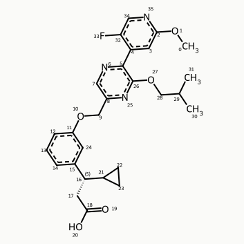 COc1cc(-c2ncc(COc3cccc([C@@H](CC(=O)O)C4CC4)c3)nc2OCC(C)C)c(F)cn1